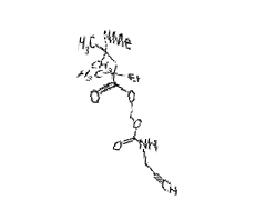 C#CCNC(=O)OCOC(=O)C(C)(CC)CC(C)(C)NC